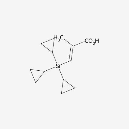 CC(=C[Si](C1CC1)(C1CC1)C1CC1)C(=O)O